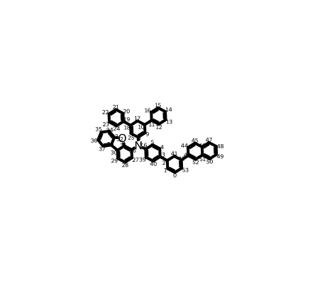 C1=CC(c2ccc(N(C3=CC(c4ccccc4)CC(c4ccccc4)=C3)c3cccc4c3oc3ccccc34)cc2)CC(c2ccc3ccccc3c2)=C1